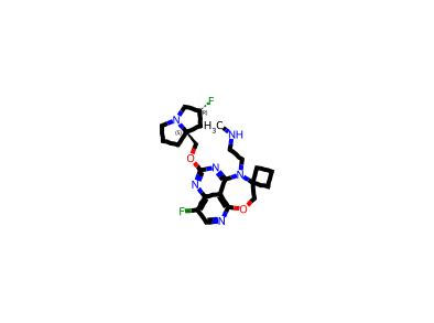 CNCCN1c2nc(OC[C@@]34CCCN3C[C@H](F)C4)nc3c(F)cnc(c23)OCC12CCC2